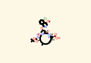 COc1cnc(O[C@@H]2C[C@H]3C(=O)N[C@@H]4[C@@H](/C=C\CCC(C)C[C@@H](C)[C@H](NC(=O)OC(C)(C)C)C(=O)N3C2)[C@H]4C(=O)O)c2cccc(Cl)c12